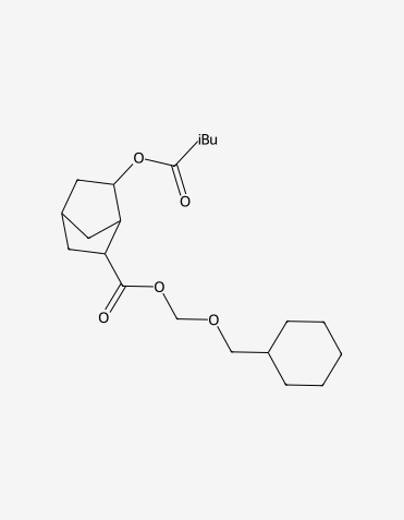 CCC(C)C(=O)OC1CC2CC(C(=O)OCOCC3CCCCC3)C1C2